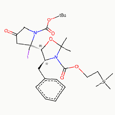 CC(C)(C)OC(=O)N1CC(=O)CC1(I)[C@@H]1OC(C)(C)N(C(=O)OCC[Si](C)(C)C)[C@H]1Cc1ccccc1